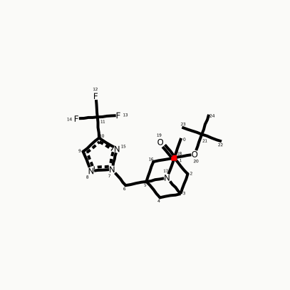 CC1CC2CC(Cn3ncc(C(F)(F)F)n3)(C1)N2C(=O)OC(C)(C)C